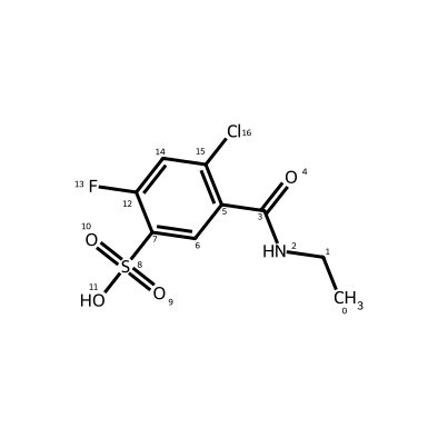 CCNC(=O)c1cc(S(=O)(=O)O)c(F)cc1Cl